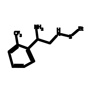 CCSNCC(N)c1ccccc1C(F)(F)F